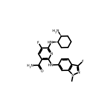 Cn1nc(F)c2ccc(Nc3nc(N[C@@H]4CCCC[C@@H]4N)c(F)cc3C(N)=O)cc21